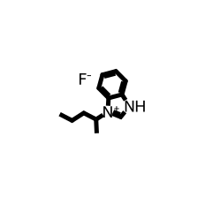 CCCC(C)[n+]1c[nH]c2ccccc21.[F-]